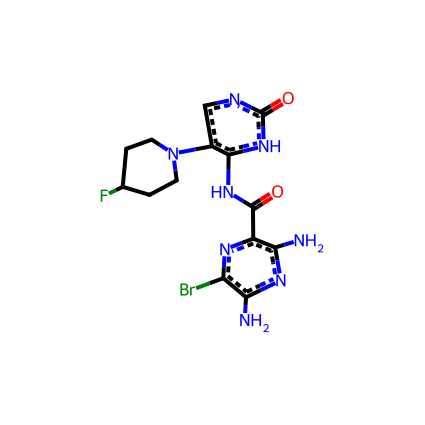 Nc1nc(N)c(C(=O)Nc2[nH]c(=O)ncc2N2CCC(F)CC2)nc1Br